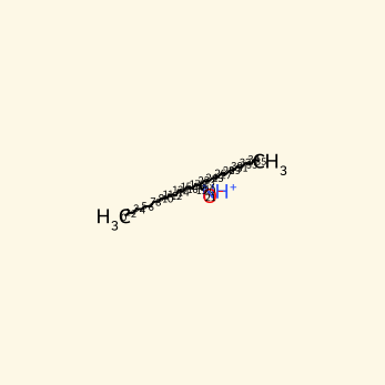 CCCCCCCCCCCCCCCCCCC(C=[NH+][O-])CCCCCCCCCCCCCC